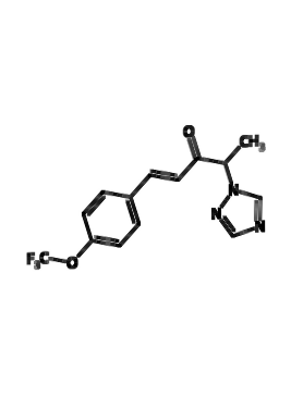 CC(C(=O)/C=C/c1ccc(OC(F)(F)F)cc1)n1cncn1